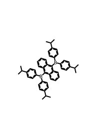 CC(C)c1ccc(B(c2ccc(C(C)C)cc2)c2c3ccccc3c(B(c3ccc(C(C)C)cc3)c3ccc(C(C)C)cc3)c3ccccc23)cc1